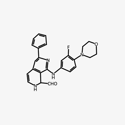 O=CC1NC=Cc2cc(-c3ccccc3)nc(Nc3ccc(N4CCOCC4)c(F)c3)c21